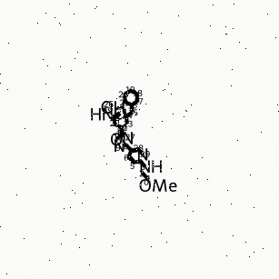 COCCNc1ccc(-c2noc([C@H](CCCC3CCCCC3)CC(=O)NO)n2)cn1